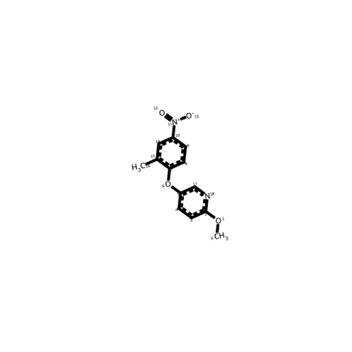 COc1ccc(Oc2ccc([N+](=O)[O-])cc2C)cn1